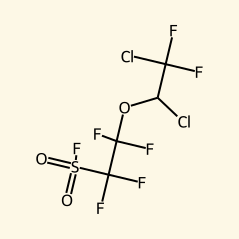 O=S(=O)(F)C(F)(F)C(F)(F)OC(Cl)C(F)(F)Cl